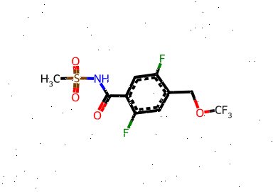 CS(=O)(=O)NC(=O)c1cc(F)c(COC(F)(F)F)cc1F